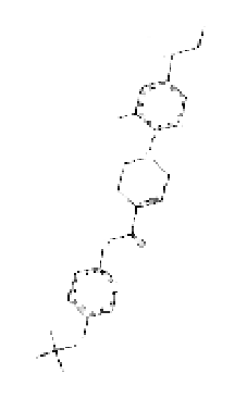 O=C(Nc1ccc(OC(F)(F)F)cn1)C1=CCN(c2ncc([C@H](O)CO)cc2F)CC1